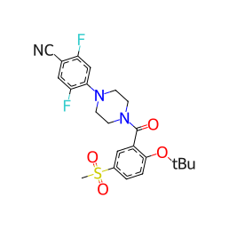 CC(C)(C)Oc1ccc(S(C)(=O)=O)cc1C(=O)N1CCN(c2cc(F)c(C#N)cc2F)CC1